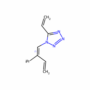 C=C/C(=C\n1nnnc1C=C)C(C)C